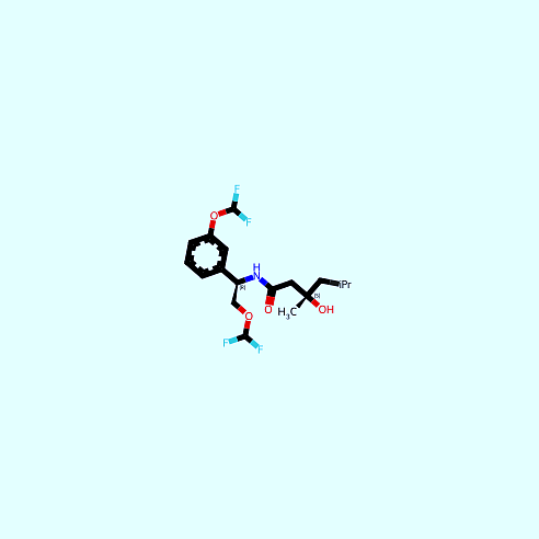 CC(C)C[C@](C)(O)CC(=O)N[C@@H](COC(F)F)c1cccc(OC(F)F)c1